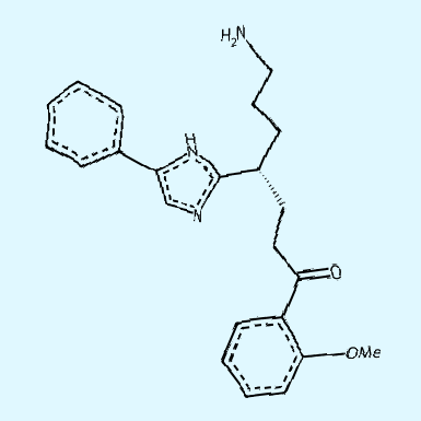 COc1ccccc1C(=O)CC[C@@H](CCCN)c1ncc(-c2ccccc2)[nH]1